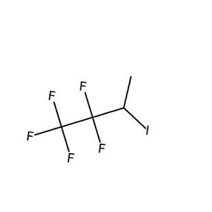 CC(I)C(F)(F)C(F)(F)F